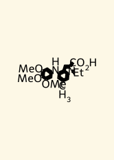 CCn1c(C(=O)O)cc2c(Nc3cc(OC)c(OC)c(OC)c3)cc(C)cc21